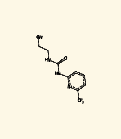 O=C(NCCO)Nc1cccc(C(F)(F)F)n1